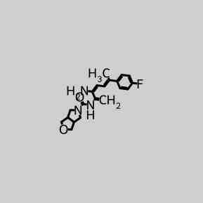 C=C(NC(=O)N1CC2COCC2C1)/C(N)=C\C=C(/C)c1ccc(F)cc1